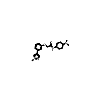 CN(C)C1CCC(NC(=O)COc2c[c]cc(-c3cnn(C)c3)c2)CC1